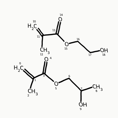 C=C(C)C(=O)OCC(C)O.C=C(C)C(=O)OCCO